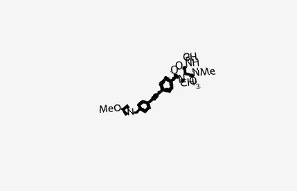 CNC(=O)C(C(=O)NO)N(C)C(=O)c1ccc(C#Cc2ccc(CN3CC(OC)C3)cc2)cc1